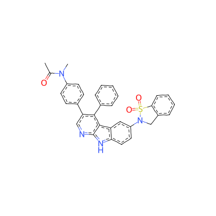 CC(=O)N(C)c1ccc(-c2cnc3[nH]c4ccc(N5Cc6ccccc6S5(=O)=O)cc4c3c2-c2ccccc2)cc1